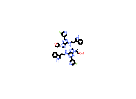 C[C@@H](CO)n1cnc2c(NCCc3c[nH]c4ccccc34)nc(-c3cncc(F)c3)nc21.Fc1cncc(-c2nc(NCCc3c[nH]c4ccccc34)c3ncn([C@@H]4CCOC4)c3n2)c1